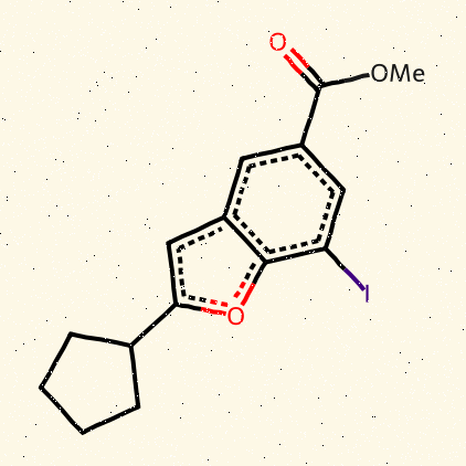 COC(=O)c1cc(I)c2oc(C3CCCC3)cc2c1